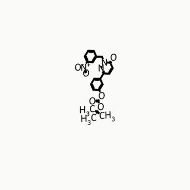 CC(C)(C)OC(=O)Oc1cccc(-c2ccc(=O)n(Cc3cccc([N+](=O)[O-])c3)n2)c1